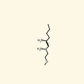 CCCC/C(N)=C/N(N)CCOC